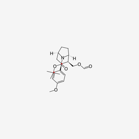 COc1ccc([C@H]2C[C@H]3CC[C@@H]([C@H]2COC=O)N3C(=O)OC(C)(C)C)cc1